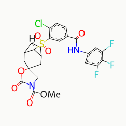 COC(=O)N1C[C@]2(CC3CCC(C2)[C@H]3S(=O)(=O)c2cc(C(=O)Nc3cc(F)c(F)c(F)c3)ccc2Cl)OC1=O